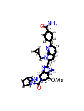 COc1cc(C(=O)N2CC3CCC2C3N)cc2nc(-c3cc4ccc(-c5ccc(C(N)=O)cc5)nc4n3CC3CC3)n(C)c12